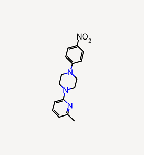 Cc1cccc(N2CCN(c3ccc([N+](=O)[O-])cc3)CC2)n1